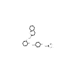 c1ccc(OCc2ccc3ccccc3n2)c(OCc2ccc(OCc3nnn[nH]3)cc2)c1